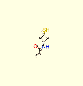 C=CC(=O)N[C@H]1C[C@@H](S)C1